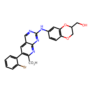 O=C(O)c1nc2nc(Nc3ccc4c(c3)OC(CO)CO4)ncc2cc1-c1ccccc1Br